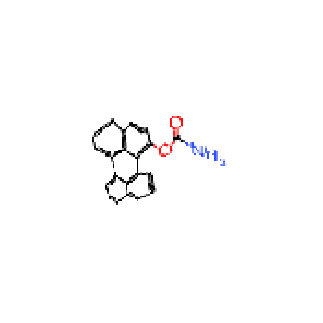 NC(=O)Oc1ccc2cccc3c4cccc5cccc(c1c23)c54